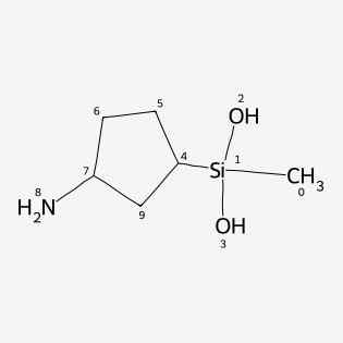 C[Si](O)(O)C1CCC(N)C1